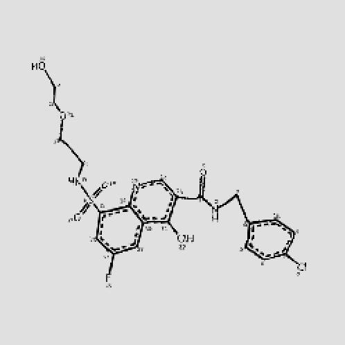 O=C(NCc1ccc(Cl)cc1)c1cnc2c(S(=O)(=O)NCCOCCO)cc(F)cc2c1O